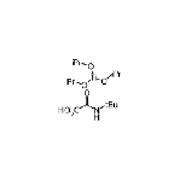 CC(C)(C)NC(=O)C(=O)O.CC(C)[O][Ti]([O]C(C)C)[O]C(C)C